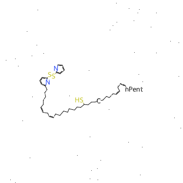 CCCCC/C=C\C/C=C\CCCCCCCCC(S)CCCCCCCC/C=C\C/C=C\CCCCCc1cccc(SSc2ccccn2)n1